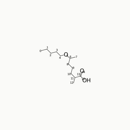 CCCCCOC(C)CCCC(C)C(=O)O